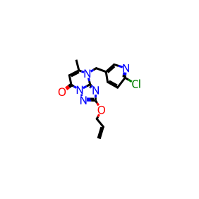 C=CCOc1nc2n(Cc3ccc(Cl)nc3)c(C)cc(=O)n2n1